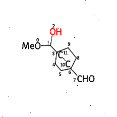 COC(O)C12CCC(C=O)(CC1)CC2